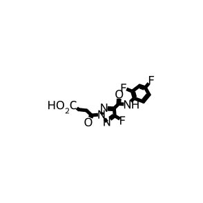 O=C(O)CCC(=O)n1nc(F)c(C(=O)Nc2ccc(F)cc2F)n1